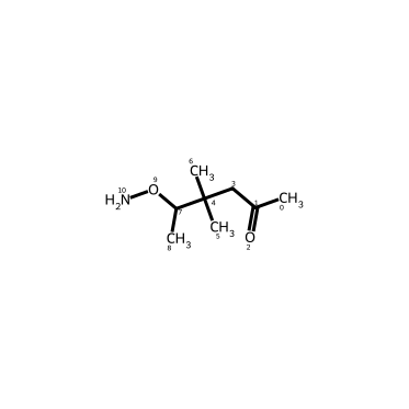 CC(=O)CC(C)(C)C(C)ON